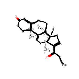 CC(=O)OCC(=O)C1=CC[C@H]2[C@@H]3CCC4=CC(=O)CC[C@]4(C)C3=CC[C@]12C